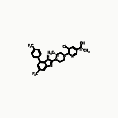 C[C@@H]1CN(c2ncc([C@@H](C)O)cc2Cl)CCN1c1nc2cc(C(F)(F)F)cc(-c3ccc(C(F)(F)F)cc3)c2[nH]1